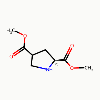 COC(=O)C1CN[C@H](C(=O)OC)C1